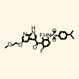 COCCOc1cnc2[nH]cc(C(=O)c3c(F)ccc(NS(=O)(=O)c4ccc(C(C)C)cc4)c3F)c2c1